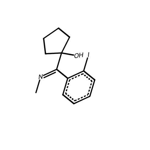 CN=C(c1ccccc1I)C1(O)CCCC1